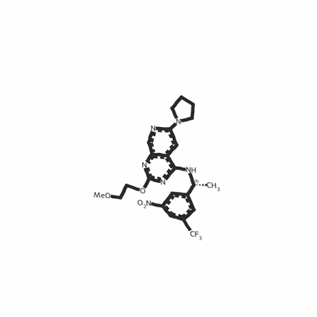 COCCOc1nc(N[C@H](C)c2cc([N+](=O)[O-])cc(C(F)(F)F)c2)c2cc(N3CCCC3)ncc2n1